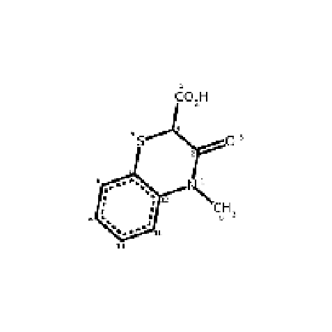 CN1C(=O)C(C(=O)O)Sc2ccccc21